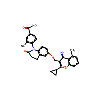 Cc1cccc(Cl)c1C(=N)/C(COc1ccc2c(c1)CCC(=O)N2c1ccc(C(=O)N=O)cc1C#N)=C(\O)C1CC1